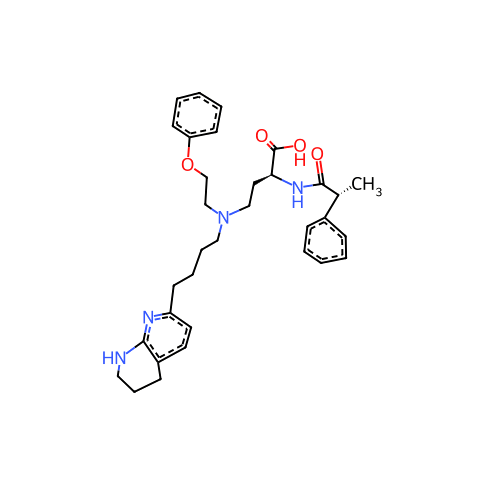 C[C@@H](C(=O)N[C@@H](CCN(CCCCc1ccc2c(n1)NCCC2)CCOc1ccccc1)C(=O)O)c1ccccc1